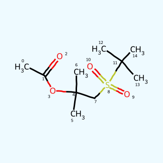 CC(=O)OC(C)(C)CS(=O)(=O)C(C)(C)C